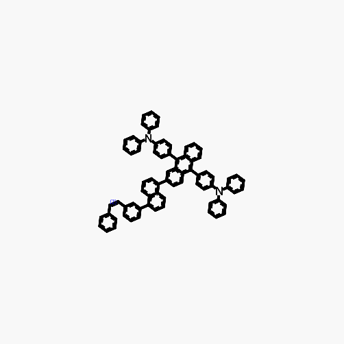 C(=C/c1cccc(-c2cccc3c(-c4ccc5c(-c6ccc(N(c7ccccc7)c7ccccc7)cc6)c6ccccc6c(-c6ccc(N(c7ccccc7)c7ccccc7)cc6)c5c4)cccc23)c1)/c1ccccc1